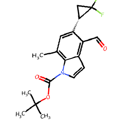 Cc1cc([C@@H]2CC2(F)F)c(C=O)c2ccn(C(=O)OC(C)(C)C)c12